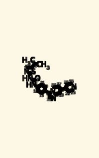 CC(C)c1cnc(NC(=O)Nc2ccc(-c3cnc4cc(-c5ccncc5)ccn34)cc2)s1